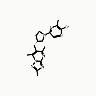 Cc1nc2nc(C)c(C[C@@H]3CCN(c4cnc(Br)c(C)n4)C3)c(C)n2n1